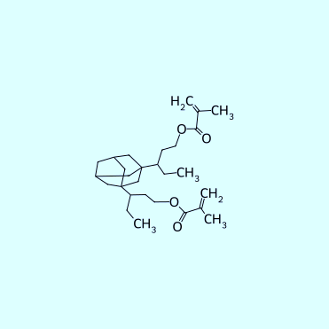 C=C(C)C(=O)OCCC(CC)C12CC3CC(C1)CC(C(CC)CCOC(=O)C(=C)C)(C3)C2